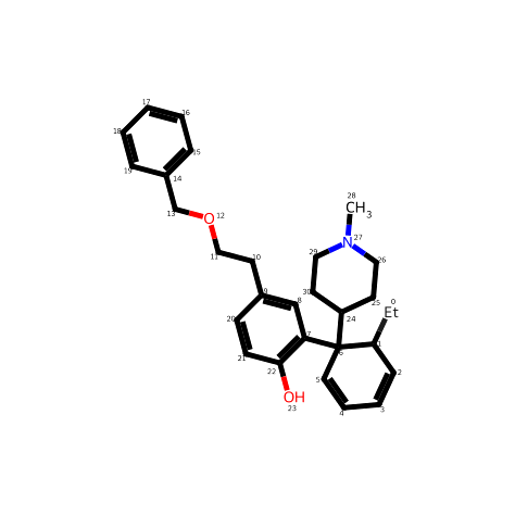 CCC1C=CC=CC1(c1cc(CCOCc2ccccc2)ccc1O)C1CCN(C)CC1